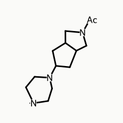 CC(=O)N1CC2CC(N3CC[N]CC3)CC2C1